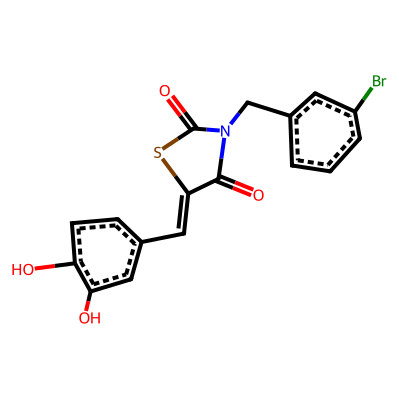 O=C1S/C(=C\c2ccc(O)c(O)c2)C(=O)N1Cc1cccc(Br)c1